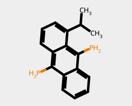 CC(C)c1cccc2c(P)c3ccccc3c(P)c12